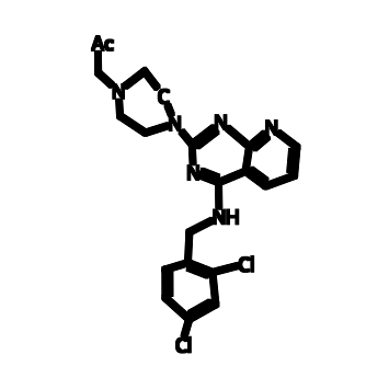 CC(=O)CN1CCN(c2nc(NCc3ccc(Cl)cc3Cl)c3cccnc3n2)CC1